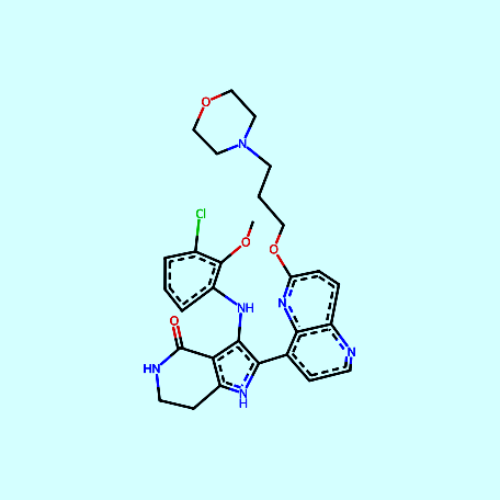 COc1c(Cl)cccc1Nc1c(-c2ccnc3ccc(OCCCN4CCOCC4)nc23)[nH]c2c1C(=O)NCC2